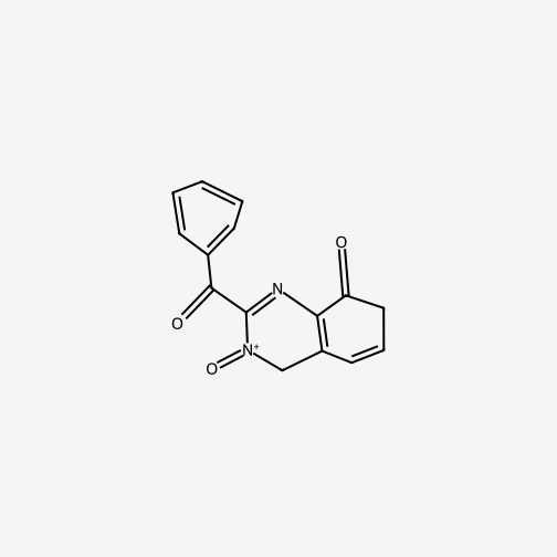 O=C1CC=CC2=C1N=C(C(=O)c1ccccc1)[N+](=O)C2